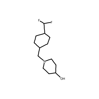 OC1CCN(CC2CCC(C(F)F)CC2)CC1